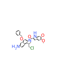 COc1cc2cc(C(=O)N3CC(CCl)c4c3cc(OCc3ccccc3)c3cc(N)ccc43)[nH]c2cc1OC